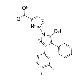 Cc1ccc(-c2nn(-c3nc(C(=O)O)cs3)c(O)c2-c2ccccc2)cc1C